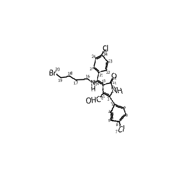 O=CC1=C(c2ccc(Cl)cc2)NC(=O)/C1=C(/NCCCCBr)c1ccc(Cl)cc1